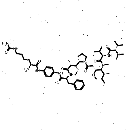 CC[C@H](C)[C@@H]([C@@H](CC(=O)N1CCC[C@H]1[C@H](OC)[C@@H](C)C(=O)NC(Cc1ccccc1)C(=O)Nc1ccc(NC(=O)[C@@H](N)CCCCNC(N)=O)cc1)OC)N(C)C(=O)[C@@H](NC(=O)[C@H](C(C)C)N(C)C)C(C)C